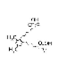 Cc1cc(C)c(CCCCCCC2(C(=O)O)CC2)c(CCCCCCC2(C(=O)O)CC2)c1